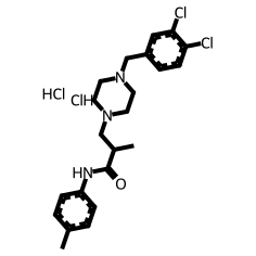 Cc1ccc(NC(=O)C(C)CN2CCN(Cc3ccc(Cl)c(Cl)c3)CC2)cc1.Cl.Cl